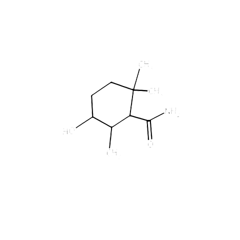 CC1C(O)CCC(C)(C)C1C(N)=O